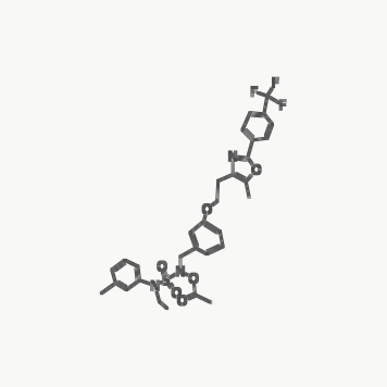 CCN(c1cccc(C)c1)S(=O)(=O)N(Cc1cccc(OCCc2nc(-c3ccc(C(F)(F)F)cc3)oc2C)c1)OC(C)=O